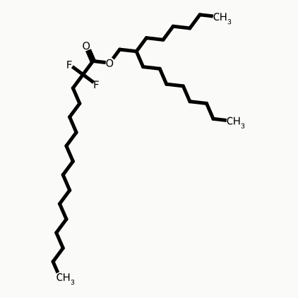 CCCCCCCCCCCCCCC(F)(F)C(=O)OCC(CCCCCC)CCCCCCCC